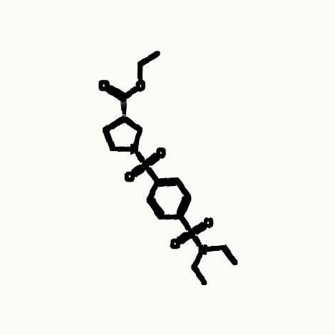 CCOC(=O)[C@H]1CCN(S(=O)(=O)c2ccc(S(=O)(=O)N(CC)CC)cc2)C1